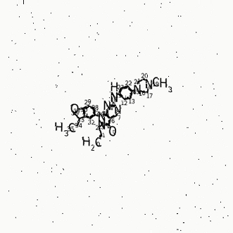 C=CCn1c(=O)c2cnc(Nc3ccc(N4CCN(C)CC4)cc3)nc2n1-c1ccc2c(c1)C(CC)CO2